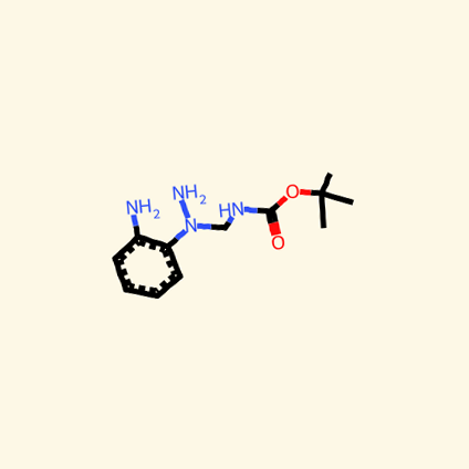 CC(C)(C)OC(=O)NCN(N)c1ccccc1N